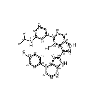 CC(C)Nc1cncc(-c2ncc3[nH]nc(-c4nc5c(-c6ccc(F)cc6)ccnc5[nH]4)c3c2F)c1